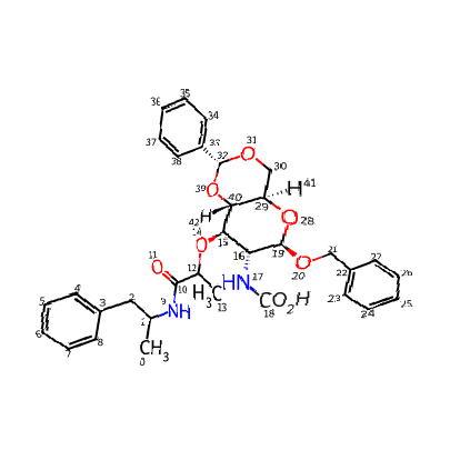 CC(Cc1ccccc1)NC(=O)C(C)O[C@@H]1[C@@H](NC(=O)O)[C@H](OCc2ccccc2)O[C@@H]2CO[C@@H](c3ccccc3)O[C@@H]12